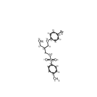 Cc1ccc(S(=O)(=O)OCC(CO)COc2ccc(Br)cc2)cc1